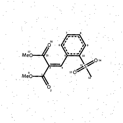 COC(=O)C(=Cc1ccccc1S(C)(=O)=O)C(=O)OC